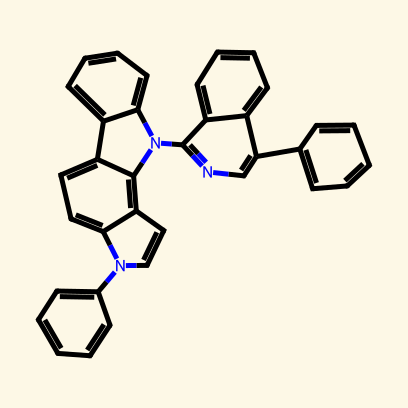 c1ccc(-c2cnc(-n3c4ccccc4c4ccc5c(ccn5-c5ccccc5)c43)c3ccccc23)cc1